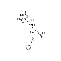 CCN(CC)CCN(CCNCC(O)c1ccc(O)c2[nH]c(=O)sc12)C(=O)CCOCCc1ccccc1